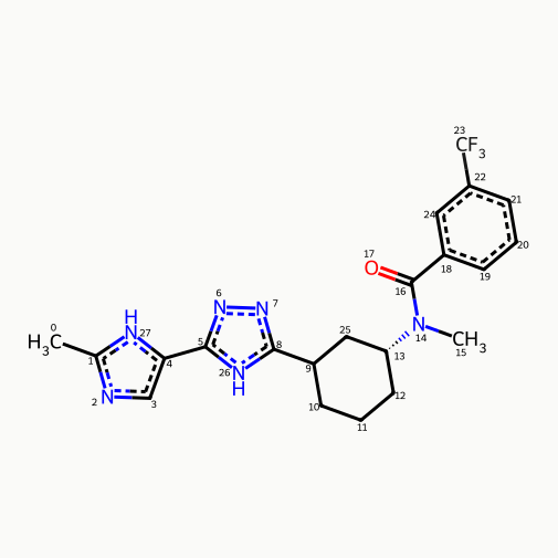 Cc1ncc(-c2nnc(C3CCC[C@@H](N(C)C(=O)c4cccc(C(F)(F)F)c4)C3)[nH]2)[nH]1